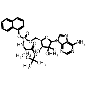 C[C@H](NP(=O)(OC[C@H]1O[C@@H](n2cnc3c(N)ncnc32)C(C)(O)[C@H]1O)Oc1cccc2ccccc12)C(=O)OC(C)(C)C